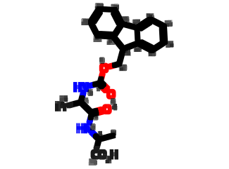 CC(NC(=O)C(NC(=O)OCC1c2ccccc2-c2ccccc21)C(C)C)C(=O)O